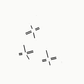 [Er+3].[Er+3].[O]=[Cr](=[O])([O-])[O-].[O]=[Cr](=[O])([O-])[O-].[O]=[Cr](=[O])([O-])[O-]